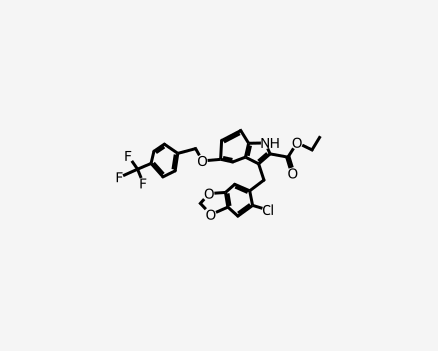 CCOC(=O)c1[nH]c2ccc(OCc3ccc(C(F)(F)F)cc3)cc2c1Cc1cc2c(cc1Cl)OCO2